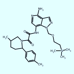 Cc1ccc(C2CCC(C)CN2C(=O)C(=O)Nc2cnc(N)c3cnn(COCC[Si](C)(C)C)c23)cc1